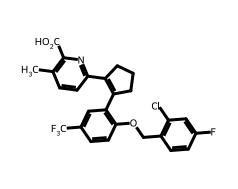 Cc1ccc(C2=C(c3cc(C(F)(F)F)ccc3OCc3ccc(F)cc3Cl)CCC2)nc1C(=O)O